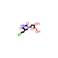 O=c1[nH]c(=O)n([C@H]2C[C@@H](O)[C@H](CO)O2)cc1C=CBr